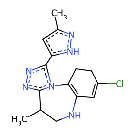 Cc1cc(-c2nnc3n2C2=C(C=C(Cl)CC2)NCC3C)[nH]n1